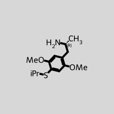 COc1cc(SC(C)C)c(OC)cc1C[C@@H](C)N